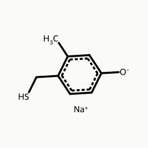 Cc1cc([O-])ccc1CS.[Na+]